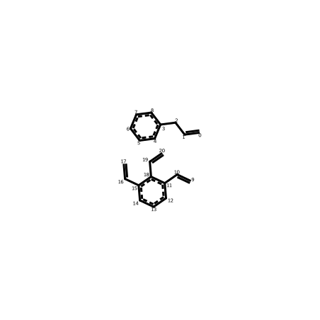 C=CCc1ccccc1.C=Cc1cccc(C=C)c1C=C